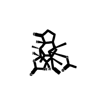 C=C[C@]1(C)[C@@H]2NC(=O)O[C@H]2[C@]2(C)C(C)CC[C@]3(CCC(=O)[C@H]32)[C@@H](C)[C@@H]1OC(C)=O